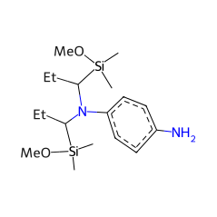 CCC(N(c1ccc(N)cc1)C(CC)[Si](C)(C)OC)[Si](C)(C)OC